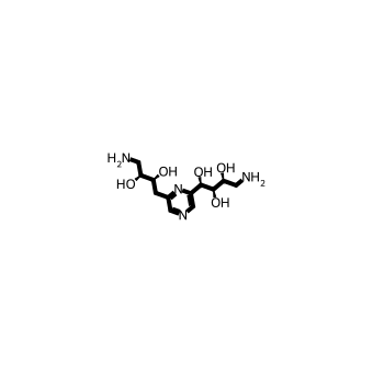 NC[C@H](O)[C@@H](O)[C@H](O)c1cncc(C[C@H](O)[C@@H](O)CN)n1